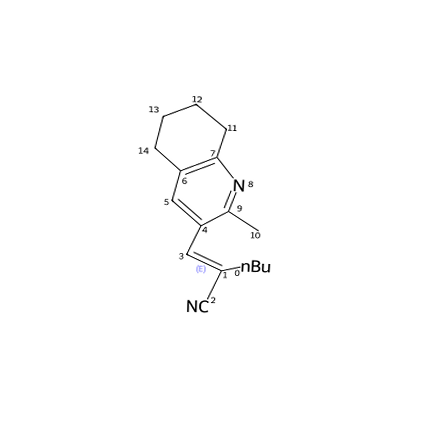 CCCC/C(C#N)=C\c1cc2c(nc1C)CCCC2